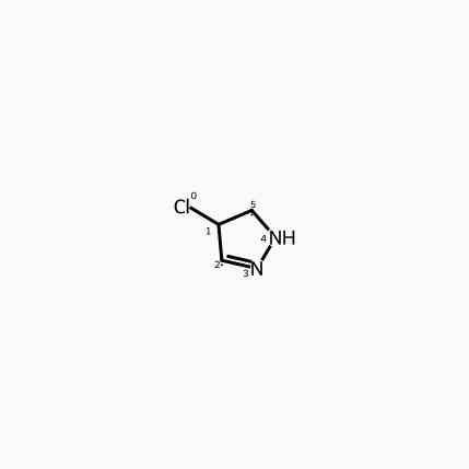 ClC1[C]=NN[CH]1